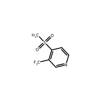 CS(=O)(=O)c1ccncc1C(F)(F)F